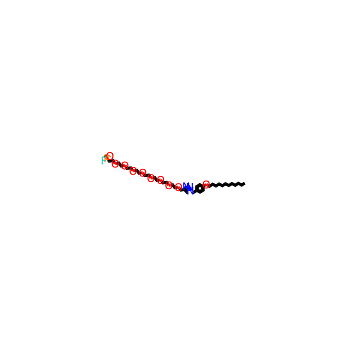 CCCCCCCCCCCCOc1ccc(Cn2cc(COCCOCCOCCOCCOCCOCCOCCOCCP(C)(=O)F)nn2)cc1